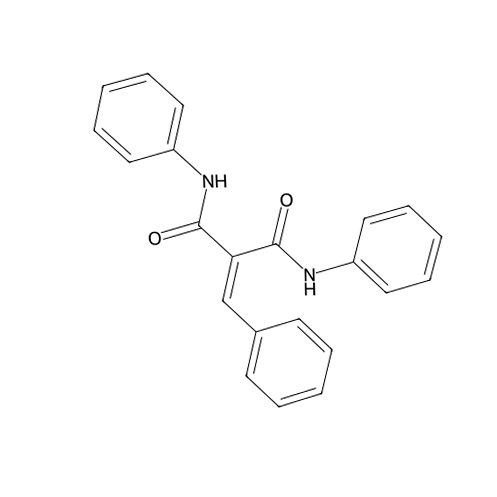 O=C(Nc1ccccc1)C(=Cc1ccccc1)C(=O)Nc1ccccc1